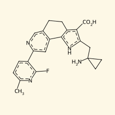 Cc1ccc(-c2cc3c(cn2)CCc2c-3[nH]c(CC3(N)CC3)c2C(=O)O)c(F)n1